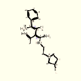 CC(=N)C(=C(/N)NCCN1CCC(F)C1)/C(Cl)=C(\N)c1ccccc1